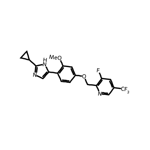 COc1cc(OCc2ncc(C(F)(F)F)cc2F)ccc1-c1cnc(C2CC2)[nH]1